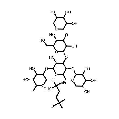 CCCC(C=O)(CCC(C)(C)CC)O[C@@H]1OC(C)[C@H](O)C(O)C1OC1OC(C)[C@H](O[C@@H]2OC[C@@H](O)C(O)C2O)C(O[C@@H]2OC(CO)[C@@H](O)C(O[C@@H]3OC[C@@H](O)C(O)C3O)C2O)[C@@H]1O